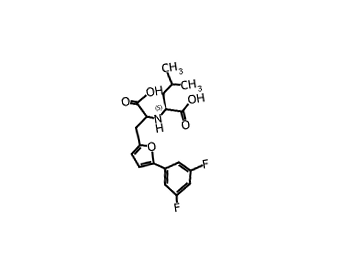 CC(C)C[C@H](NC(Cc1ccc(-c2cc(F)cc(F)c2)o1)C(=O)O)C(=O)O